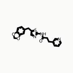 O=C(CCc1cccnc1)Nc1ncc(Cc2ccc3c(c2)OCO3)s1